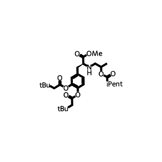 CCCC(C)C(=O)OC(C)CN[C@@H](Cc1ccc(OC(=O)CC(C)(C)C)c(OC(=O)CC(C)(C)C)c1)C(=O)OC